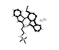 CC=c1ccc2c(c1C1C(CCCO[Si](C)(C)C)=Cc3ccccc31)[C]([Zr+2])=c1ccccc1=2.[Cl-].[Cl-]